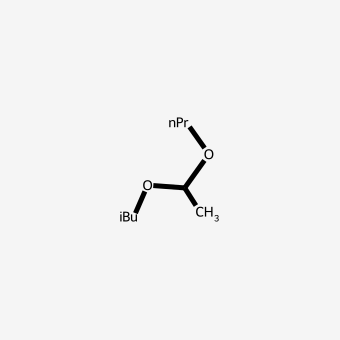 CCCOC(C)OC(C)CC